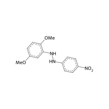 COc1ccc(OC)c(NNc2ccc([N+](=O)[O-])cc2)c1